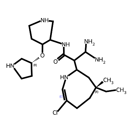 CC[C@]1(C)CC/C(Cl)=C\NC(C(C(=O)NC2CNCCC2O[C@@H]2CCNC2)C(N)N)C1